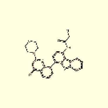 O=C(CCl)Nc1ccc(-c2cccc3c(=O)cc(N4CCOCC4)oc23)c2sc3ccccc3c12